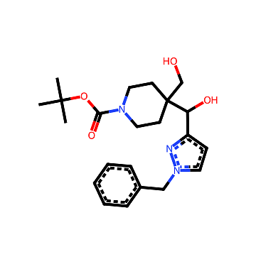 CC(C)(C)OC(=O)N1CCC(CO)(C(O)c2ccn(Cc3ccccc3)n2)CC1